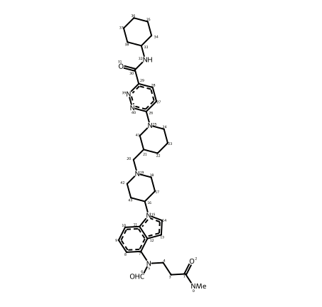 CNC(=O)CCN(C=O)c1cccc2c1ccn2C1CCN(CC2CCCN(c3ccc(C(=O)NC4CCCCC4)nn3)C2)CC1